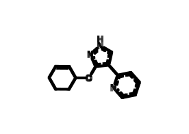 C1=CC(Oc2n[nH]cc2-c2ccccn2)CCC1